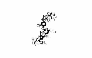 Cc1cc(Nc2cc(C(C)(C)C)n[nH]2)nc(Oc2ccc(NC(=O)NC(C)(C)C)cc2Cl)n1